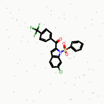 O=C(c1ccc(C(F)(F)F)cc1)c1cc2ccc(Cl)cc2n1S(=O)(=O)c1ccccc1